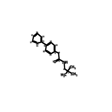 CC(C)(C)CNC(=O)Cc1ccc(-c2ccccn2)cc1